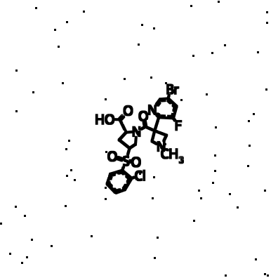 CN1CC(C(=O)N2CC(S(=O)(=O)c3ccccc3Cl)CC2C(=O)O)(c2ncc(Br)cc2F)C1